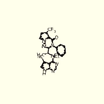 CCN(c1ncnc2[nH]cc(C#N)c12)[C@@H](C)c1nn2ccc(C(F)(F)F)c2c(=O)n1-c1ccccc1